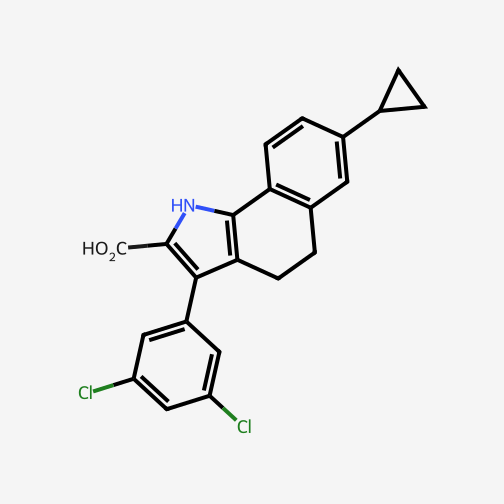 O=C(O)c1[nH]c2c(c1-c1cc(Cl)cc(Cl)c1)CCc1cc(C3CC3)ccc1-2